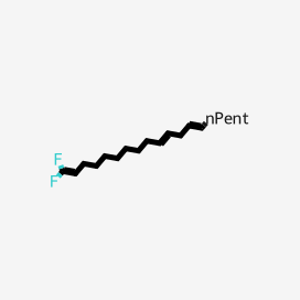 CCCCCC=CCC=CCCCCCCCC=C(F)F